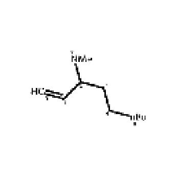 [CH]=CC(CCCCCC)NC